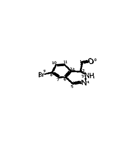 O=CC1NN=Cc2cc(Br)ccc21